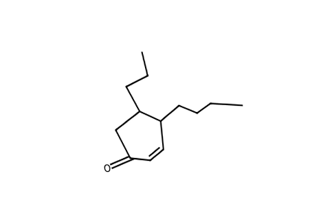 CCCCC1C=CC(=O)CC1CCC